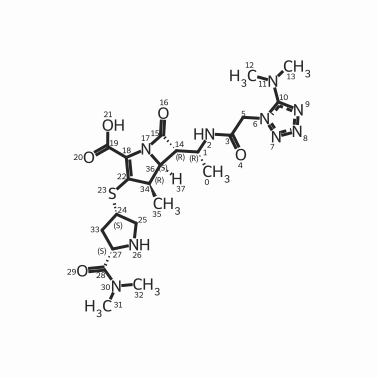 C[C@@H](NC(=O)Cn1nnnc1N(C)C)[C@H]1C(=O)N2C(C(=O)O)=C(S[C@@H]3CN[C@H](C(=O)N(C)C)C3)[C@H](C)[C@H]12